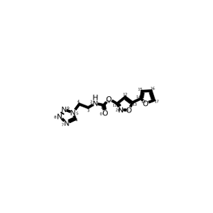 O=C(NCCn1cnnn1)Oc1cc(-c2ccco2)on1